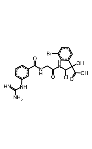 N=C(N)Nc1cccc(C(=O)NCC(=O)NC(Cl)C(O)(C(=O)O)c2cccc(Br)c2)c1